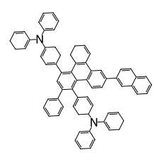 C1=CC(N(C2=CC=C(c3cc(-c4ccccc4)c(C4=CCC(N(C5=CCCC=C5)c5ccccc5)C=C4)c4c3c3c(c5cc(-c6ccc7ccccc7c6)ccc54)C=CCC3)CC2)c2ccccc2)=CCC1